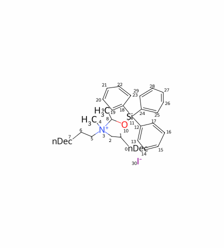 CCCCCCCCCCCC[N+](C)(CCCCCCCCCCCC)C(C)O[Si](c1ccccc1)(c1ccccc1)c1ccccc1.[I-]